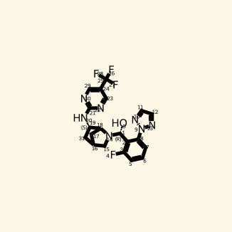 O[C@H](c1c(F)cccc1-n1nccn1)N1CC2CC1[C@@H](Nc1ncc(C(F)(F)F)cn1)C2